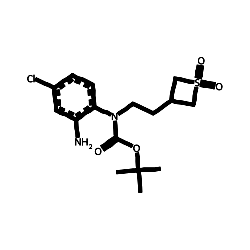 CC(C)(C)OC(=O)N(CCC1CS(=O)(=O)C1)c1ccc(Cl)cc1N